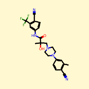 Cc1cc(N2CCN(CC(C)(O)C(=O)Nc3ccc(C#N)c(C(F)(F)F)c3)CC2)ccc1C#N